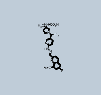 COc1cc(F)cc2ccc(/C=N/Nc3ccc(C(N4CC[C@](C)(NC(=O)O)C4)C(F)(F)F)cn3)nc12